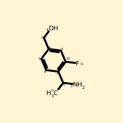 CC(N)c1ccc(CO)cc1F